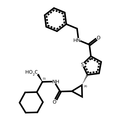 O=C(NCc1ccccc1)c1ccc([C@@H]2CC2C(=O)N[C@H](C(=O)O)C2CCCCC2)s1